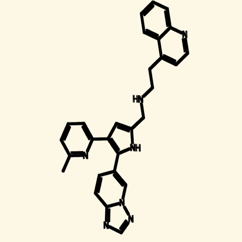 Cc1cccc(-c2cc(CNCCc3ccnc4ccccc34)[nH]c2-c2ccc3ncnn3c2)n1